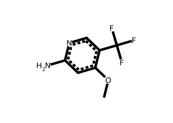 COc1cc(N)ncc1C(F)(F)F